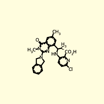 Cc1cc(C(C)Nc2ccc(Cl)nc2C(=O)O)c2nc(N3Cc4ccccc4C3)n(C)c(=O)c2c1